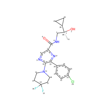 C[C@](O)(CNC(=O)c1cnc(N2CCC(F)(F)CC2)c(-c2ccc(Cl)cc2)n1)C1CC1